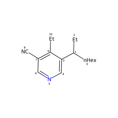 CCCCCCC(CC)c1cncc(C#N)c1CC